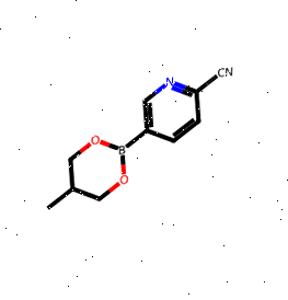 CC1COB(c2ccc(C#N)nc2)OC1